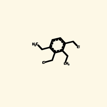 CCc1ccc(CCl)c(CC)c1CCl